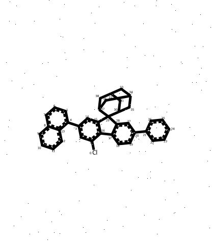 Clc1cc(-c2cccc3ccccc23)cc2c1-c1ccc(-c3ccccc3)cc1C21C2CC3CC(C2)CC1C3